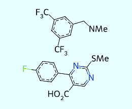 CNCc1cc(C(F)(F)F)cc(C(F)(F)F)c1.CSc1ncc(C(=O)O)c(-c2ccc(F)cc2)n1